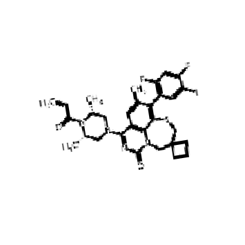 C=CC(=O)N1[C@H](C)CN(c2nc(=O)n3c4c(c(-c5cc(I)c(F)cc5F)c(C)cc24)SCC2(CCC2)C3)C[C@@H]1C